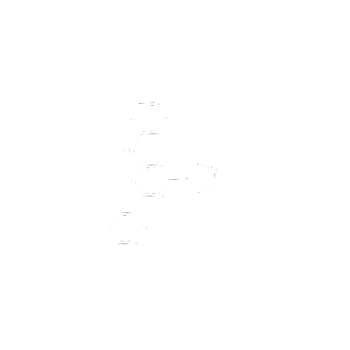 CN1CC(c2nc(Nc3ccnc(C(F)(F)F)c3)nc(-c3cccc(C(F)(F)F)n3)n2)=CO1